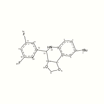 CC(C)(C)c1ccc2c(c1)C1OCOC1C(c1cc(F)cc(F)c1)N2